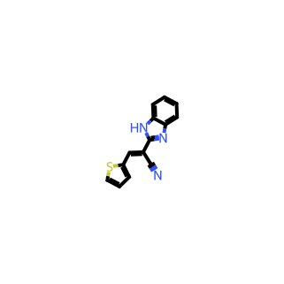 N#CC(=Cc1cccs1)c1nc2ccccc2[nH]1